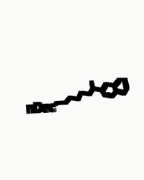 CCCCCCCCCCCCCCCCC(C)c1ccc2ccccc2c1